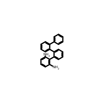 Nc1cccc(N)c1-c1ccccc1-c1ccccc1-c1ccccc1